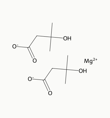 CC(C)(O)CC(=O)[O-].CC(C)(O)CC(=O)[O-].[Mg+2]